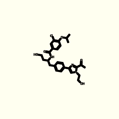 CC(=O)c1nc(-c2ccc(CC(CCO)NC(=O)c3ccc(OC(C)C)c(Cl)c3)cc2)cn1CCO